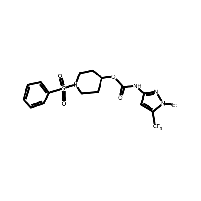 CCn1nc(NC(=O)OC2CCN(S(=O)(=O)c3ccccc3)CC2)cc1C(F)(F)F